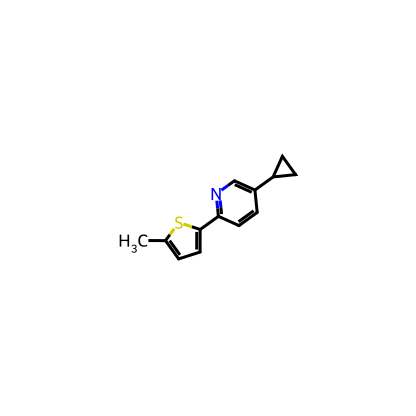 Cc1ccc(-c2ccc(C3CC3)cn2)s1